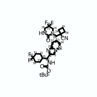 CC(C)(C)OC(=O)N[C@H](c1cn2ncc([C@H](N3CC(F)(F)CNC3=O)C3(C#N)CCC3)cc2n1)C1CCC(F)(F)CC1